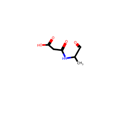 CC([C]=O)NC(=O)CC(=O)O